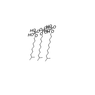 CC(C)CCCCCCCCCOP(=O)(O)O.CC(C)CCCCCCCCOP(=O)(O)O.CC(C)CCCCCCCOP(=O)(O)O